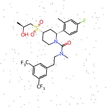 Cc1cc(F)ccc1[C@H]1C[C@@H](S(=O)(=O)C[C@H](C)O)CCN1C(=O)N(C)CCc1cc(C(F)(F)F)cc(C(F)(F)F)c1